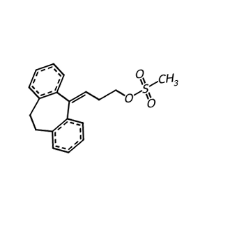 CS(=O)(=O)OCCC=C1c2ccccc2CCc2ccccc21